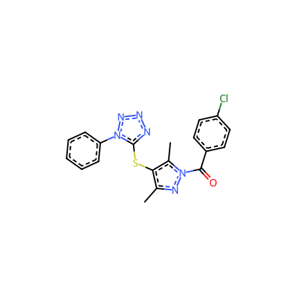 Cc1nn(C(=O)c2ccc(Cl)cc2)c(C)c1Sc1nnnn1-c1ccccc1